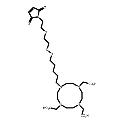 O=C(O)CN1CCN(CCCCCOOCCOCCN2C(=O)C=CC2=O)CCN(CC(=O)O)CCN(CC(=O)O)CC1